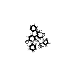 O=C(c1ccccc1)c1c(C(=O)N2CCC[C@H]2CO)sc2c1ccc(=O)n2-c1ccccc1